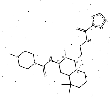 C[C@H]1[C@H](NC(=O)N2CCN(C)CC2)CC2C(C)(C)CCC[C@]2(C)[C@H]1CCNC(=O)c1ccco1